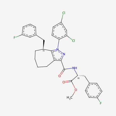 COC(=O)[C@@H](Cc1ccc(F)cc1)NC(=O)c1nn(-c2ccc(Cl)cc2Cl)c2c1CCCC[C@H]2Cc1cccc(F)c1